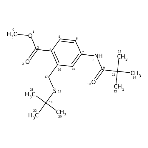 COC(=O)c1ccc(NC(=O)C(C)(C)C)cc1CSC(C)(C)C